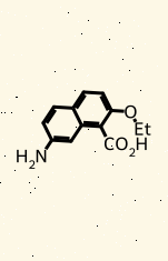 CCOc1ccc2ccc(N)cc2c1C(=O)O